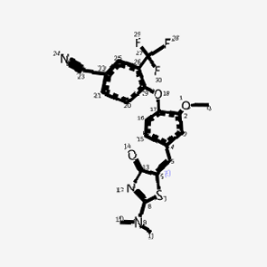 COc1cc(/C=C2/SC(N(C)C)=NC2=O)ccc1Oc1ccc(C#N)cc1C(F)(F)F